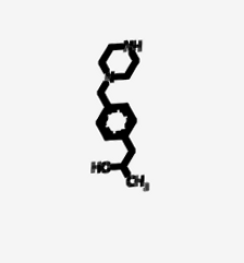 CC(O)Cc1ccc(CN2CCNCC2)cc1